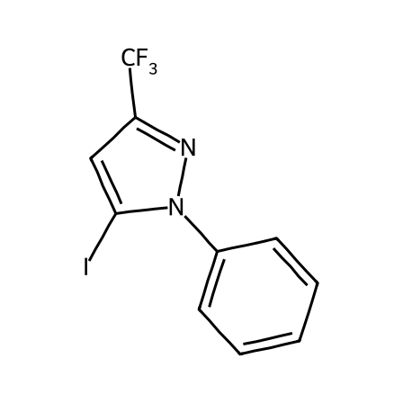 FC(F)(F)c1cc(I)n(-c2ccccc2)n1